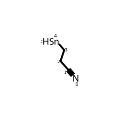 N#CC[CH2][SnH]